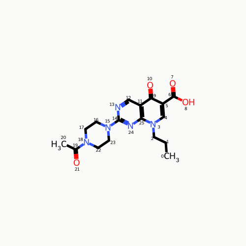 CCCn1cc(C(=O)O)c(=O)c2cnc(N3CCN(C(C)=O)CC3)nc21